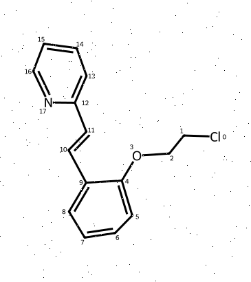 ClCCOc1ccccc1C=Cc1ccccn1